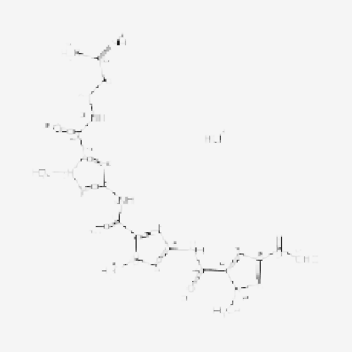 Cl.Cn1cc(NC(=O)c2cc(NC(=O)c3cc(NC=O)cn3C)cn2C)cc1C(=O)NCCC(=N)N